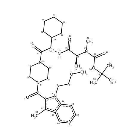 COCCn1c(C(=O)N2CCN(C(=O)[C@@H](NC(=O)[C@H](C)N(C)C(=O)OC(C)(C)C)C3CCCCC3)CC2)c(C)c2ccccc21